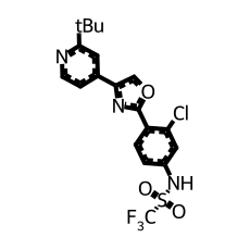 CC(C)(C)c1cc(-c2coc(-c3ccc(NS(=O)(=O)C(F)(F)F)cc3Cl)n2)ccn1